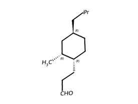 CC(C)C[C@H]1CC[C@H](CCC=O)[C@H](C)C1